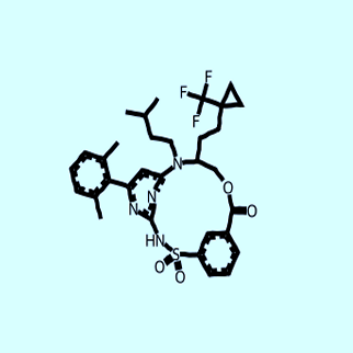 Cc1cccc(C)c1-c1cc2nc(n1)NS(=O)(=O)c1cccc(c1)C(=O)OCC(CCC1(C(F)(F)F)CC1)N2CCC(C)C